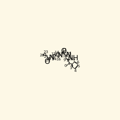 CC(c1ccccc1)c1cc(C(=O)N2CC3(C2)CN(C(=O)C2CC2)C3)n[nH]1